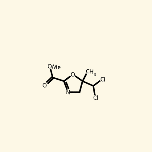 COC(=O)C1=NCC(C)(C(Cl)Cl)O1